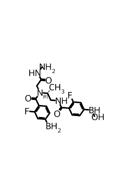 Bc1ccc(C(=O)N(CC(=O)NN)[C@H](C)CNC(=O)c2ccc(BO)cc2F)c(F)c1